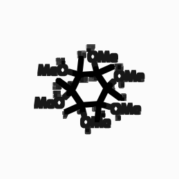 COC1(C)C(C)(OC)C(C)(OC)C(C)(OC)C(C)(OC)C1(C)OC